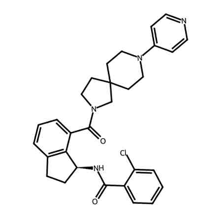 O=C(N[C@H]1CCc2cccc(C(=O)N3CCC4(CCN(c5ccncc5)CC4)C3)c21)c1ccccc1Cl